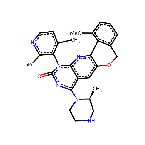 COc1cccc2c1-c1nc3c(cc1OC2)c(N1CCNC[C@@H]1C)nc(=O)n3-c1c(C)ccnc1C(C)C